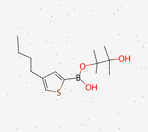 CCCCc1csc(B(O)OC(C)(C)C(C)(C)O)c1